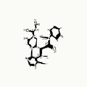 Cc1ncnc(N2CCN(C(=O)OC(C)(C)C)CC2)c1[C@H](C)CC(=O)N(C)c1ccccc1